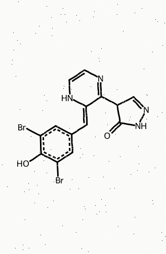 O=C1NN=CC1C1=NC=CNC1=Cc1cc(Br)c(O)c(Br)c1